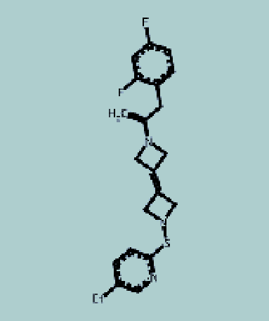 C=C(Cc1ccc(F)cc1F)N1CC(=C2CN(Sc3ccc(CC)cn3)C2)C1